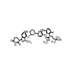 CNC(=O)N(CCC(C)(C)O)c1cc(Nc2nc(N3CC[C@@H](Nc4ccc5c(C6CCC(=O)NC6=O)nn(C)c5c4)[C@H](C)C3)ncc2Cl)ccc1F